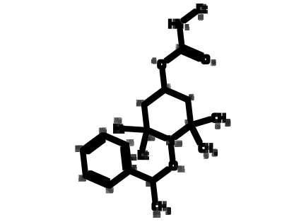 CCNC(=O)OC1CC(C)(C)N(OC(C)c2ccccc2)C(CC)(CC)C1